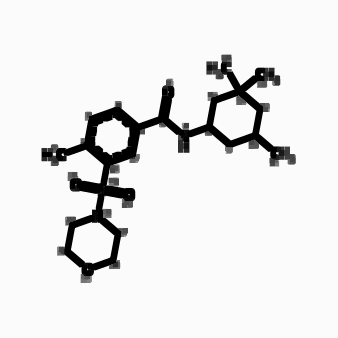 Cc1ccc(C(=O)NC2CC(C)CC(C)(C)C2)cc1S(=O)(=O)N1CCOCC1